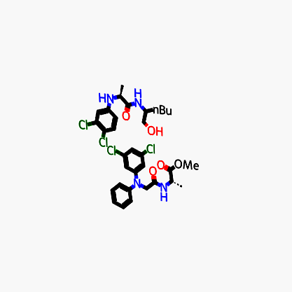 CCCCC(CO)NC(=O)[C@H](C)Nc1ccc(Cl)c(Cl)c1.COC(=O)[C@H](C)NC(=O)CN(c1ccccc1)c1cc(Cl)cc(Cl)c1